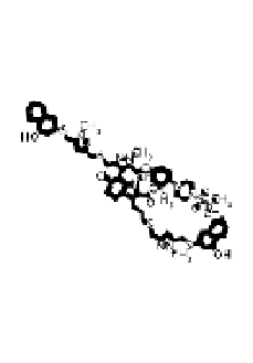 COC(=O)c1c(CCCSCc2cc(CSc3cc(O)c4ccccc4c3)n(C)n2)c2ccc(Cl)c(-c3c(CSCc4cc(CSc5cc(O)c6ccccc6c5)n(C)n4)nn(C)c3COc3ccc(N4CCN(S(=O)(=O)N(C)C)CC4)cc3)c2n1C